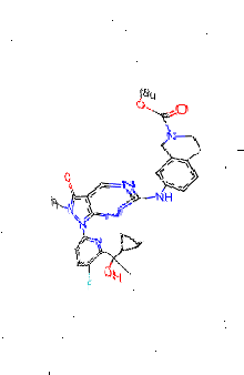 CC(C)n1c(=O)c2cnc(Nc3ccc4c(c3)CN(C(=O)OC(C)(C)C)CC4)nc2n1-c1ccc(F)c(C(C)(O)C2CC2)n1